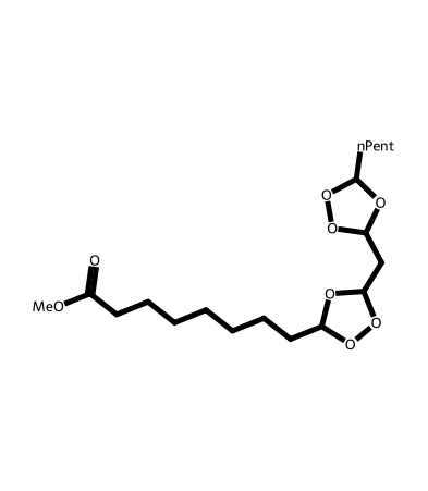 CCCCCC1OOC(CC2OOC(CCCCCCCC(=O)OC)O2)O1